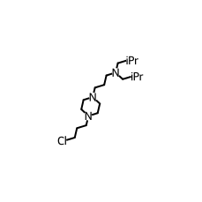 CC(C)CN(CCCN1CCN(CCCCl)CC1)CC(C)C